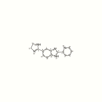 c1ccc(-c2nc3cc(C4=NCCN4)ccc3[nH]2)nc1